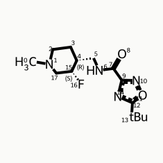 CN1CC[C@H](CNC(=O)c2noc(C(C)(C)C)n2)[C@H](F)C1